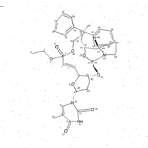 CCOP(=O)(/C=C/C1O[C@@H](n2cc(C)c(=O)[nH]c2=O)C[C@H]1O[P@@]1O[C@H](CS(C)(c2ccccc2)c2ccccc2)[C@@H]2CCCN21)OCC